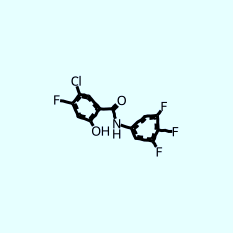 O=C(Nc1cc(F)c(F)c(F)c1)c1cc(Cl)c(F)cc1O